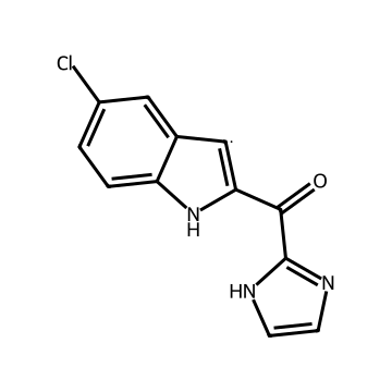 O=C(c1[c]c2cc(Cl)ccc2[nH]1)c1ncc[nH]1